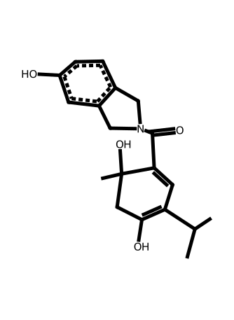 CC(C)C1=C(O)CC(C)(O)C(C(=O)N2Cc3ccc(O)cc3C2)=C1